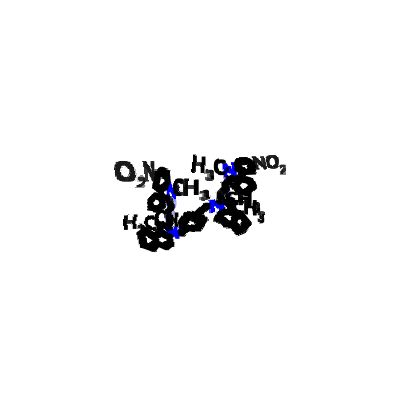 CN1/C(=C/C=C/C2=[N+](Cc3ccc(C[N+]4=C(/C=C/C=C5/N(C)c6ccc([N+](=O)[O-])cc6C56CCCCC6)C(C)(C)c5c4ccc4ccccc54)cc3)c3ccc4ccccc4c3C2(C)C)C2(CCCCC2)c2cc([N+](=O)[O-])ccc21